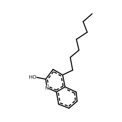 CCCCCCCc1cc(O)nc2ccccc12